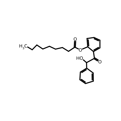 CCCCCCCCC(=O)Oc1ccccc1C(=O)C(O)c1ccccc1